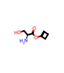 N[C@@H](CO)C(=O)OC1=CCC1